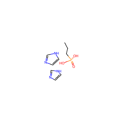 CCCP(=O)(O)O.c1c[nH]cn1.c1c[nH]cn1